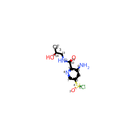 Nc1cc([S+]([O-])Cl)cnc1C(=O)NCC(O)C(F)(F)F